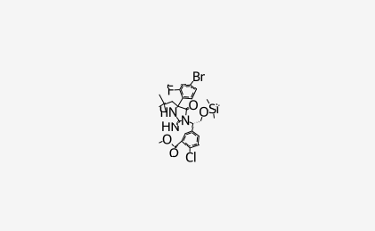 COC(=O)c1cc([C@@H](CO[Si](C)(C)C)N2C(=N)NC(CC(C)(C)C)(c3ccc(Br)cc3F)C2=O)ccc1Cl